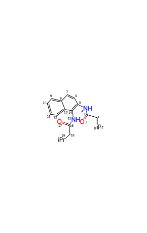 CC(C)CC(=O)Nc1ccc2ccccc2c1NC(=O)CC(C)C